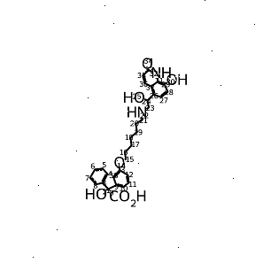 O=C(O)C(O)(c1ccccc1)c1cccc(OCCCCCCCNCC(O)c2ccc(O)c3[nH]c(=O)ccc23)c1